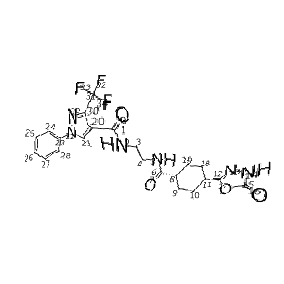 O=C(NCCNC(=O)[C@H]1CC[C@H](c2n[nH]c(=O)o2)CC1)c1cn(-c2ccccc2)nc1C(F)(F)F